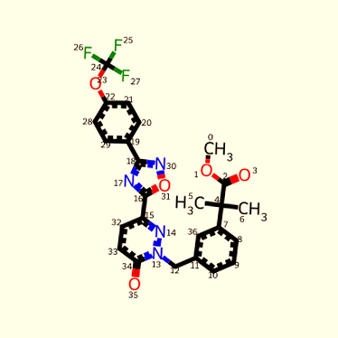 COC(=O)C(C)(C)c1cccc(Cn2nc(-c3nc(-c4ccc(OC(F)(F)F)cc4)no3)ccc2=O)c1